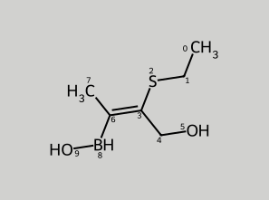 CCS/C(CO)=C(\C)BO